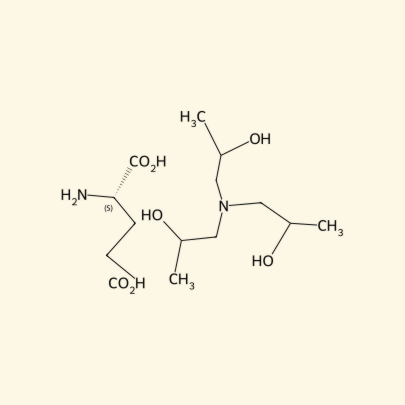 CC(O)CN(CC(C)O)CC(C)O.N[C@@H](CCC(=O)O)C(=O)O